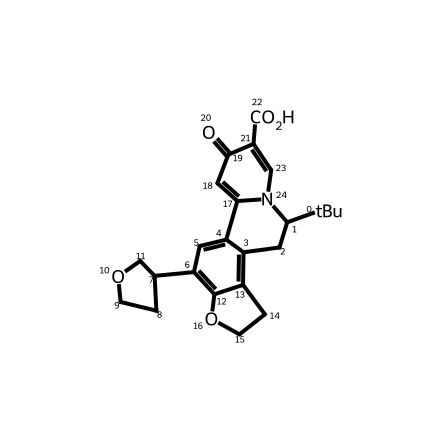 CC(C)(C)C1Cc2c(cc(C3CCOC3)c3c2CCO3)-c2cc(=O)c(C(=O)O)cn21